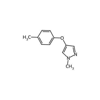 Cc1ccc(Oc2cnn(C)c2)cc1